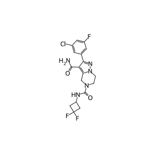 NC(=O)c1c(-c2cc(F)cc(Cl)c2)nn2c1CN(C(=O)NC1CC(F)(F)C1)CC2